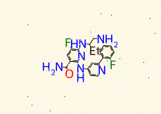 CC[C@@H](Nc1nc(Nc2ccnc(-c3ccccc3F)c2)c(C(N)=O)cc1F)[C@H](C)N